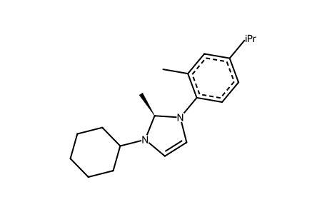 Cc1cc(C(C)C)ccc1N1C=CN(C2CCCCC2)[C@H]1C